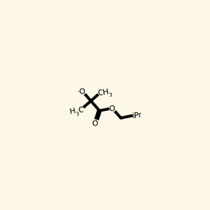 CC(C)COC(=O)C(C)(C)[O]